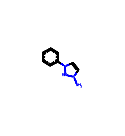 NN1C=CN(c2ccccc2)N1